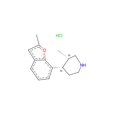 Cc1cc2cccc([C@H]3CCNC[C@H]3C)c2o1.Cl